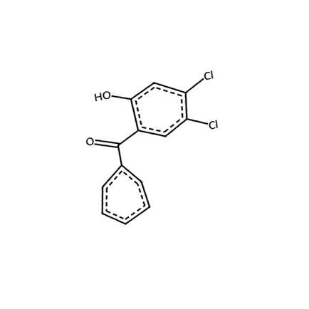 O=C(c1ccccc1)c1cc(Cl)c(Cl)cc1O